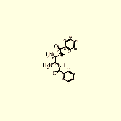 NC(NC(=O)c1ccccc1)C(N)NC(=O)c1ccccc1